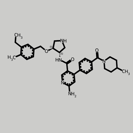 CCc1cc(CO[C@H]2CNC[C@@H]2NC(=O)c2cnc(N)cc2-c2ccc(C(=O)N3CCC(C)CC3)cc2)ccc1C